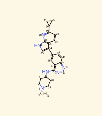 CN1CCC(Nc2ncnc3ccc(-c4c[nH]c5nc(C6CC6)ccc45)cc23)CC1